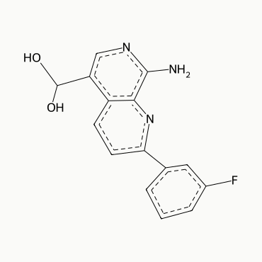 Nc1ncc(C(O)O)c2ccc(-c3cccc(F)c3)nc12